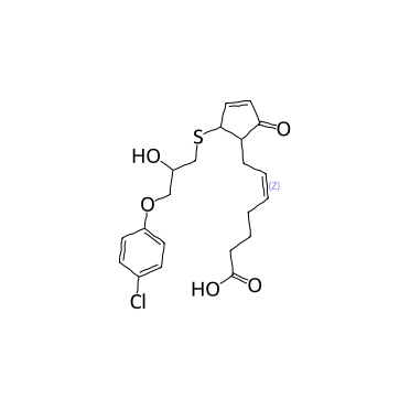 O=C(O)CCC/C=C\CC1C(=O)C=CC1SCC(O)COc1ccc(Cl)cc1